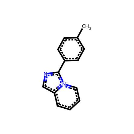 Cc1ccc(-c2ncc3ccccn23)cc1